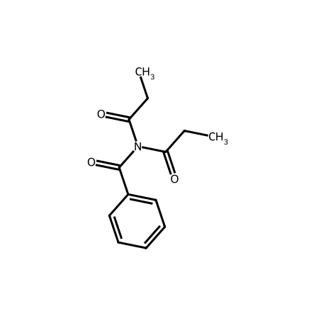 CCC(=O)N(C(=O)CC)C(=O)c1ccccc1